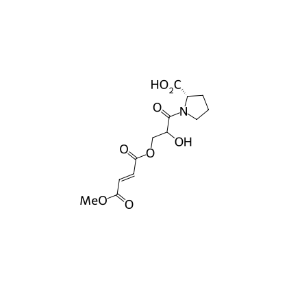 COC(=O)/C=C/C(=O)OCC(O)C(=O)N1CCC[C@H]1C(=O)O